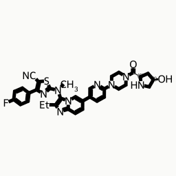 CCc1nc2ccc(-c3ccc(N4CCN(C(=O)[C@@H]5C[C@@H](O)CN5)CC4)nc3)cn2c1N(C)c1nc(-c2ccc(F)cc2)c(C#N)s1